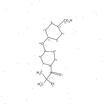 CCC(C)(C)C(=O)C1CCC(OC2CCC(C(=O)O)CC2)CC1